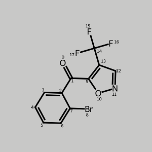 O=C(c1ccccc1Br)c1oncc1C(F)(F)F